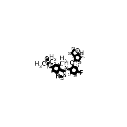 Cc1cc(N=S(C)(C)=O)cc2ncnc(Nc3ccc(F)cc3O[C@@H]3CC[C@@H]4OCCC43)c12